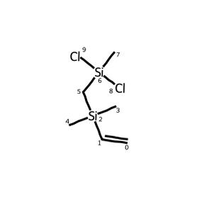 C=C[Si](C)(C)C[Si](C)(Cl)Cl